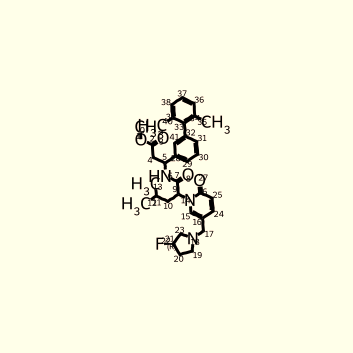 COC(=O)CC(NC(=O)C(CC(C)C)n1cc(CN2CC[C@@H](F)C2)ccc1=O)c1cccc(-c2c(C)cccc2C)c1